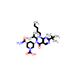 CCCCCNc1nc(C(C)(C)C)ncc1C(=O)N(CC(C)C)[C@H]1C[C@@H](C(N)=O)CN(C(=O)O)C1